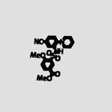 COC(=O)c1ccc(OC)c(S(=O)(=O)Nc2cc(C#N)ccc2N2CCCCC2)c1